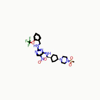 CS(=O)(=O)N1CCN([C@H]2CC[C@H](CNc3nc(NCc4ccccc4OC(F)(F)F)ncc3[N+](=O)[O-])CC2)CC1